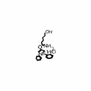 Cl.NC(CCCCCO)OC1=CN(c2ccccc2)S(c2ccccc2)=C1